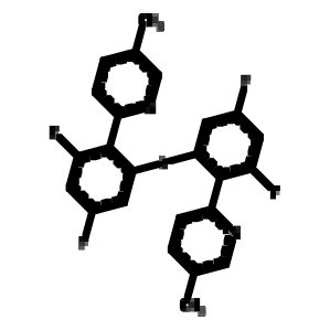 Cc1ccc(-c2c(F)cc(F)c[c]2[Ir][c]2cc(F)cc(F)c2-c2ccc(C)cn2)nc1